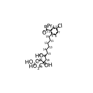 CCCC(=O)c1cc(Cl)ccc1CCCCCCC(O)CC(O)(CC(=O)O)C(=O)O